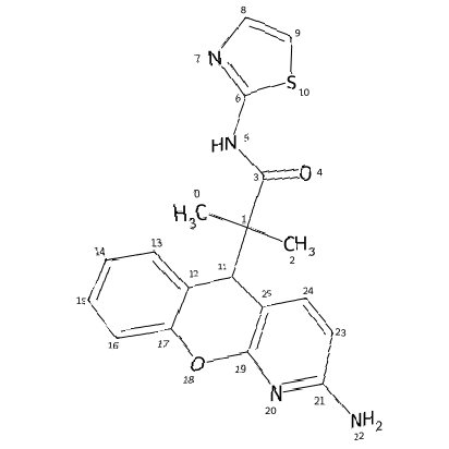 CC(C)(C(=O)Nc1nccs1)C1c2ccccc2Oc2nc(N)ccc21